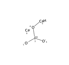 [Ca].[O-][I+2]([O-])[O][CaH]